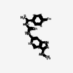 CNc1n[nH]c2cc(NC(=O)NC(C)c3ccc(F)cc3)ncc12